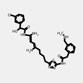 CNCc1cccc(CC(=O)Nc2nnc(CCCC/C(N)=C/C=C(\N)NC(=O)C(O)c3cccc(Cl)c3)s2)c1